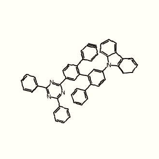 c1ccc(-c2ccc(-c3nc(-c4ccccc4)nc(-c4ccccc4)n3)cc2-c2cc(-n3c4c(c5ccccc53)C=CCC4)ccc2-c2ccccc2)cc#1